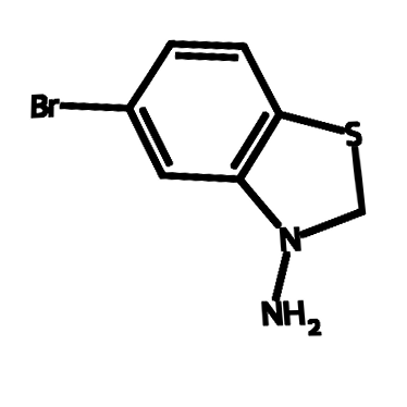 NN1CSc2ccc(Br)cc21